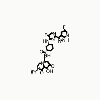 CC(C)N1CCn2c(CNC(=O)[C@H]3CCC[C@@H](Nc4nc(-c5n[nH]c6ncc(F)cc56)ncc4F)C3)cc(=O)c(O)c2C1=O